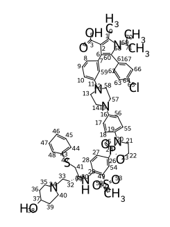 Cc1c(C(=O)O)c(-c2cccc(N3CCN(c4ccc(N5CCOP5(=O)c5ccc(N[C@H](CCN6CCC(O)CC6)CSc6ccccc6)c(S(C)(=O)=O)c5)cc4)CC3)c2)c(-c2ccc(Cl)cc2)n1C(C)C